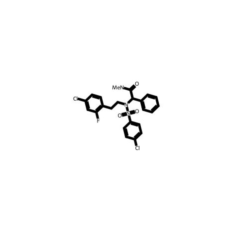 CNC(=O)C(c1ccccc1)N(CCc1ccc(Cl)cc1F)S(=O)(=O)c1ccc(Cl)cc1